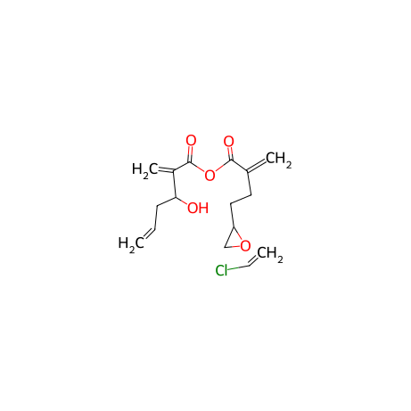 C=CCC(O)C(=C)C(=O)OC(=O)C(=C)CCC1CO1.C=CCl